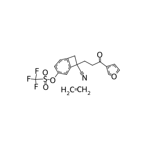 C=C.N#CC1(CCC(=O)c2ccoc2)Cc2ccc(OS(=O)(=O)C(F)(F)F)cc21